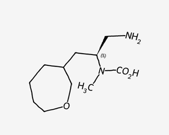 CN(C(=O)O)[C@H](CN)CC1CCCCOC1